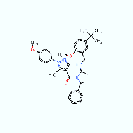 COc1ccc(-n2ncc(C(=O)N3C(NCc4cc(C(C)(C)C)ccc4OC)CCC3c3ccccc3)c2C)cc1